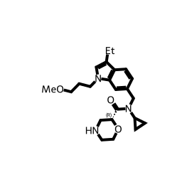 CCc1cn(CCCOC)c2cc(CN(C(=O)[C@H]3CNCCO3)C3CC3)ccc12